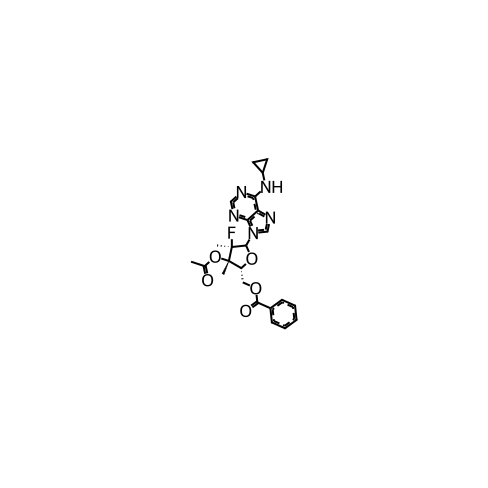 CC(=O)O[C@@]1(C)[C@@H](COC(=O)c2ccccc2)OC(n2cnc3c(NC4CC4)ncnc32)[C@]1(C)F